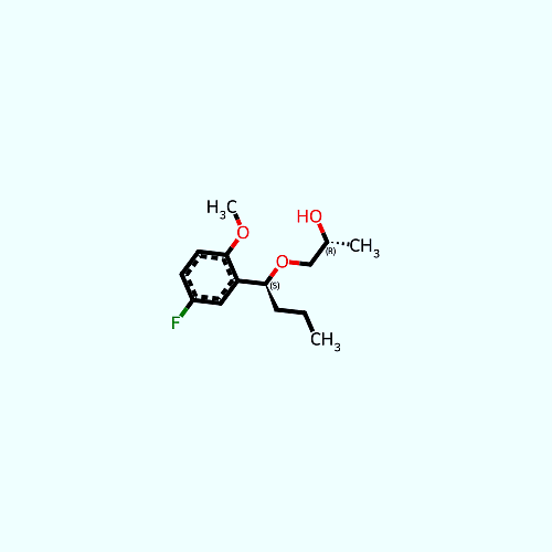 CCC[C@H](OC[C@@H](C)O)c1cc(F)ccc1OC